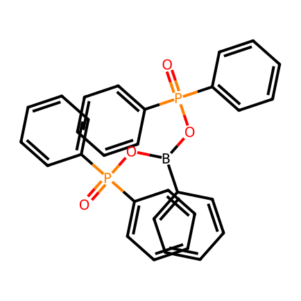 O=P(OB(OP(=O)(c1ccccc1)c1ccccc1)c1ccccc1)(c1ccccc1)c1ccccc1